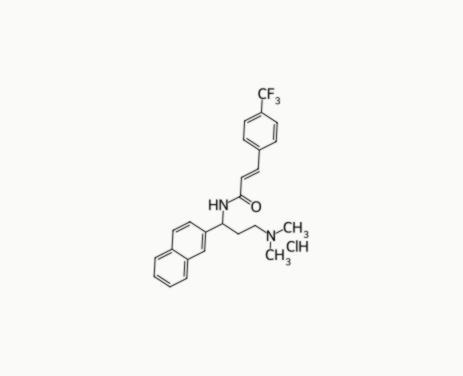 CN(C)CCC(NC(=O)C=Cc1ccc(C(F)(F)F)cc1)c1ccc2ccccc2c1.Cl